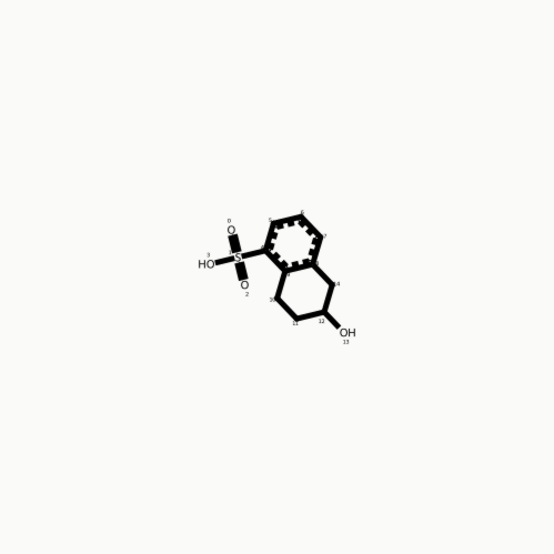 O=S(=O)(O)c1cccc2c1CCC(O)C2